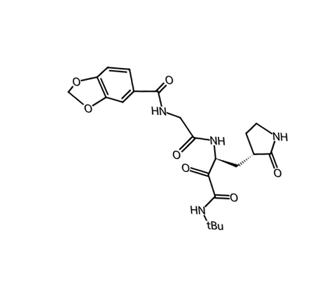 CC(C)(C)NC(=O)C(=O)[C@H](C[C@@H]1CCNC1=O)NC(=O)CNC(=O)c1ccc2c(c1)OCO2